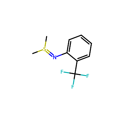 CS(C)=Nc1ccccc1C(F)(F)F